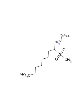 CCCCCC/C=C/C(CCCCCCC(=O)O)S(C)(=O)=O